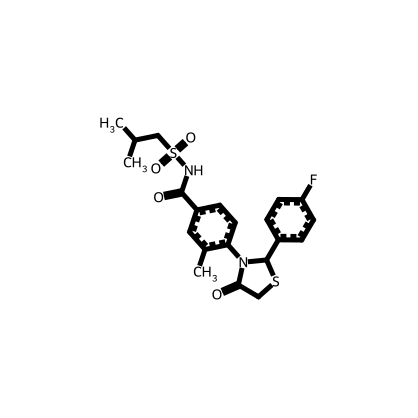 Cc1cc(C(=O)NS(=O)(=O)CC(C)C)ccc1N1C(=O)CSC1c1ccc(F)cc1